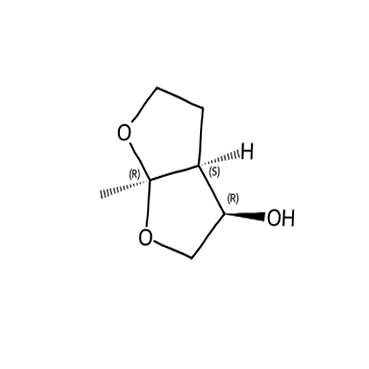 C[C@]12OCC[C@H]1[C@@H](O)CO2